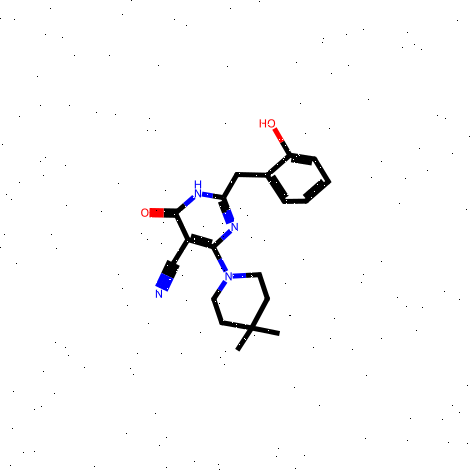 CC1(C)CCN(c2nc(Cc3ccccc3O)[nH]c(=O)c2C#N)CC1